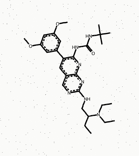 CCC(CNc1ncc2cc(-c3cc(OC)cc(OC)c3)c(NC(=O)NC(C)(C)C)nc2n1)N(CC)CC